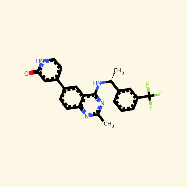 Cc1nc(N[C@H](C)c2cccc(C(F)(F)F)c2)c2cc(-c3cc[nH]c(=O)c3)ccc2n1